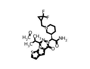 C=O.CC(C)c1nn(C(C(N)=O)[C@@H]2CCCN(CC3CC3(F)F)C2)c(=O)c2cc3ccsc3n12